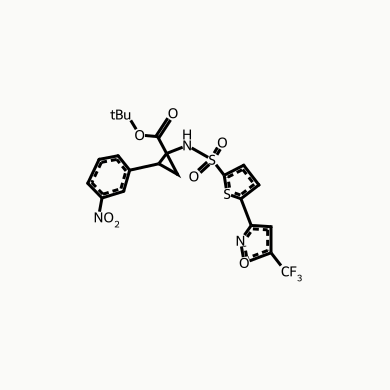 CC(C)(C)OC(=O)C1(NS(=O)(=O)c2ccc(-c3cc(C(F)(F)F)on3)s2)CC1c1cccc([N+](=O)[O-])c1